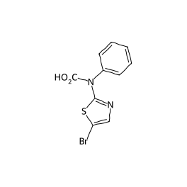 O=C(O)N(c1ccccc1)c1ncc(Br)s1